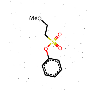 COCCS(=O)(=O)Oc1ccccc1